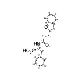 O=C(CCC1Cc2ccccc2O1)NC(Cc1ccccc1)C(=O)O